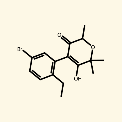 CCc1ccc(Br)cc1C1=C(O)C(C)(C)OC(C)C1=O